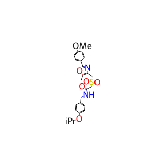 COc1ccc(-c2nc(CS(=O)(=O)CC(=O)NCc3ccc(OC(C)C)cc3)c(C)o2)cc1